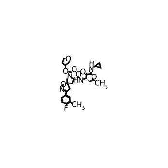 CCC[C@H](NC(=O)[C@@H]1C[C@]2(CC(c3ccc(F)c(C)c3)=NO2)CN1C(=O)O[C@H]1CCOC1)C(=O)C(=O)NC1CC1